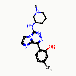 CN1CCC[C@@H](Nc2nnc(-c3ccc(C(F)(F)F)cc3O)c3nccn23)C1